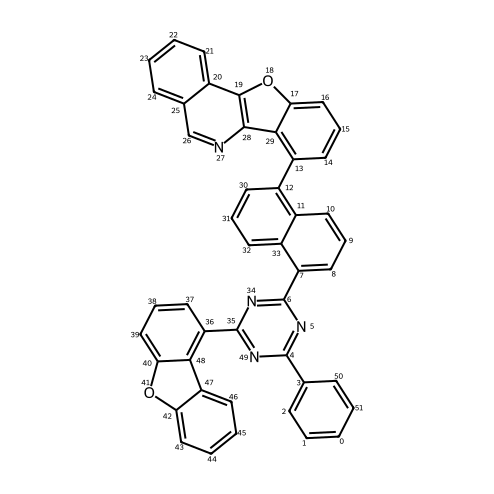 c1ccc(-c2nc(-c3cccc4c(-c5cccc6oc7c8ccccc8cnc7c56)cccc34)nc(-c3cccc4oc5ccccc5c34)n2)cc1